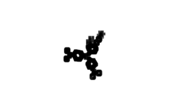 O.O.O=S(=O)=C1C=CC(P(C2=CCC(=S(=O)=O)C=C2)c2ccccc2)=CC1.[K].[K]